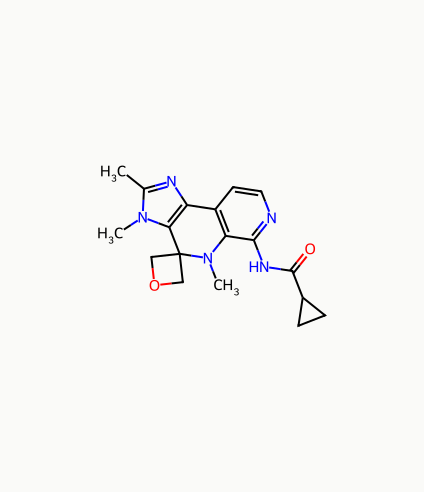 Cc1nc2c(n1C)C1(COC1)N(C)c1c-2ccnc1NC(=O)C1CC1